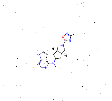 Cc1noc(N2C[C@H]3C[C@@H](N(C)c4ncnc5[nH]ccc45)C[C@H]3C2)n1